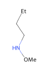 [CH2]ONCCCC